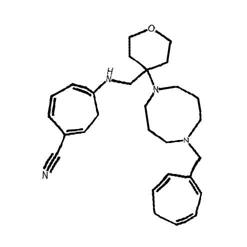 N#CC1=CCC(NCC2(N3CCCN(CC4=CC=CCC=C4)CCC3)CCOCC2)=CC=C1